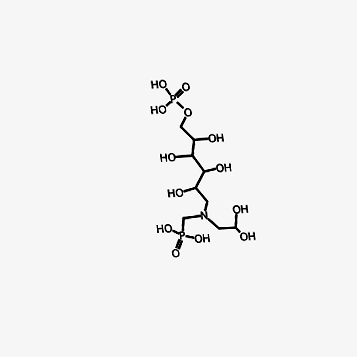 O=P(O)(O)CN(CC(O)O)CC(O)C(O)C(O)C(O)COP(=O)(O)O